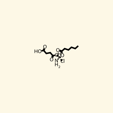 CCCCCC(=O)O[PH](N)(Cl)OC(=O)CCC(=O)O